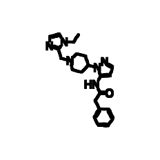 CCn1ccnc1CN1CCC(n2nccc2NC(=O)Cc2ccccc2)CC1